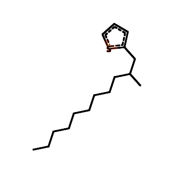 CCCCCCCCCC(C)Cc1cccs1